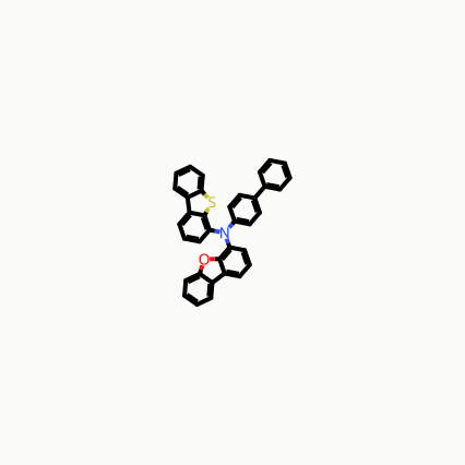 c1ccc(-c2ccc(N(c3cccc4c3oc3ccccc34)c3cccc4c3sc3ccccc34)cc2)cc1